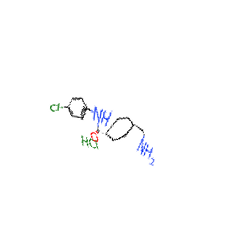 Cl.NC[C@H]1CC[C@H](C(=O)Nc2ccc(Cl)cc2)CC1